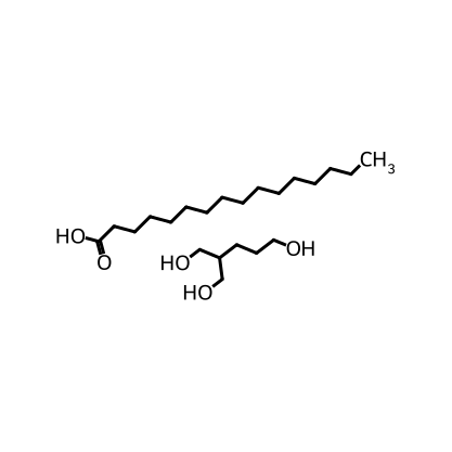 CCCCCCCCCCCCCCCC(=O)O.OCCCC(CO)CO